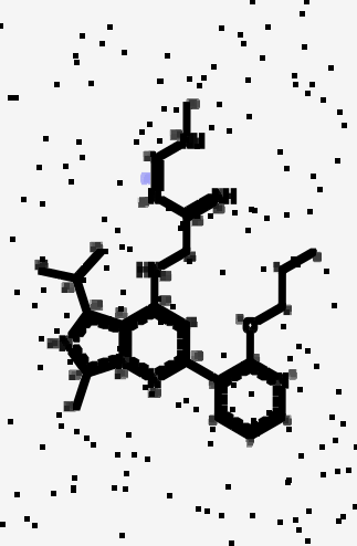 CCCOc1ncccc1-c1cc(NCC(=N)/N=C\NC)c2c(C(C)C)nc(C)n2n1